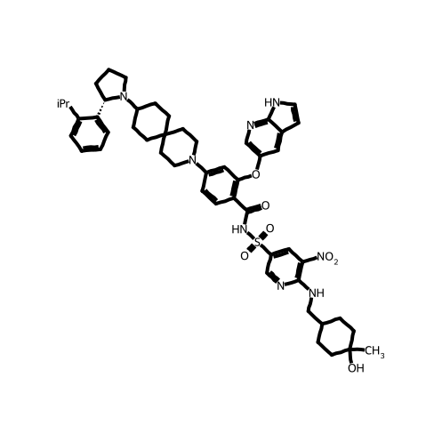 CC(C)c1ccccc1[C@@H]1CCCN1C1CCC2(CC1)CCN(c1ccc(C(=O)NS(=O)(=O)c3cnc(NCC4CCC(C)(O)CC4)c([N+](=O)[O-])c3)c(Oc3cnc4[nH]ccc4c3)c1)CC2